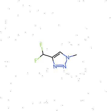 Cn1cc(C(F)F)nn1